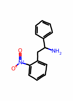 NC(Cc1ccccc1[N+](=O)[O-])c1ccccc1